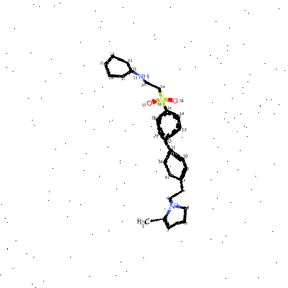 C[C@@H]1CCCN1CCC1=CC=C(c2ccc(S(=O)(=O)CCNC3CCCCC3)cc2)CC1